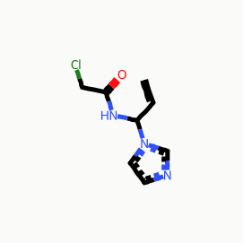 C=CC(NC(=O)CCl)n1ccnc1